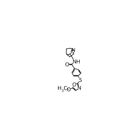 COc1cnc(Sc2ccc(C(=O)NC3CC4CCN(CC4)C3)cc2)o1